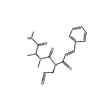 CNC(=O)C(C)N(C)C(=O)N(C[C]=O)C(=O)/C=C/c1ccccc1